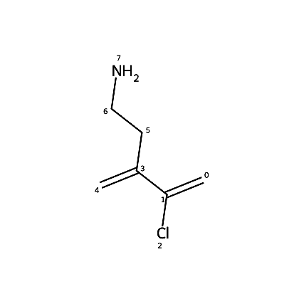 C=C(Cl)C(=C)CCN